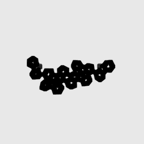 C1=CC2c3c(cc4c5cccc6c7c(cc(c8cccc3c84)c65)C3(c4ccccc4-c4ccccc43)c3cc(-c4cccc5c4oc4ccccc45)ccc3-7)C3(c4ccccc4-c4ccc(-c5cccc6c5oc5ccccc56)cc43)C2C=C1